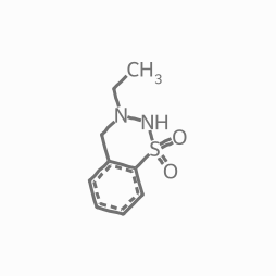 CCN1Cc2ccccc2S(=O)(=O)N1